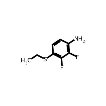 CCSc1ccc(N)c(F)c1F